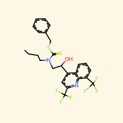 CCCCN(CC(O)c1cc(C(F)(F)F)nc2c(C(F)(F)F)cccc12)C(=S)SCc1ccccc1